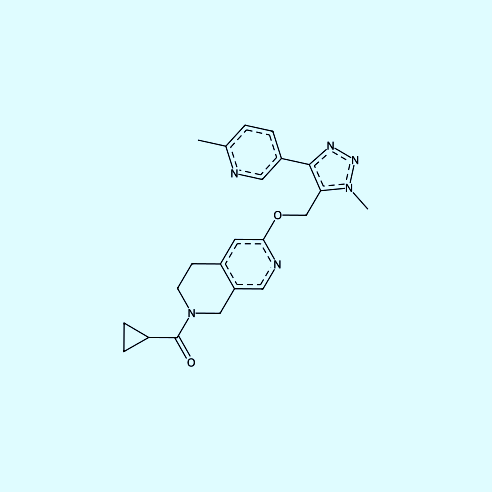 Cc1ccc(-c2nnn(C)c2COc2cc3c(cn2)CN(C(=O)C2CC2)CC3)cn1